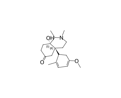 COC1=CC=C(C)C([C@]23CCN(C)C(C)[C@]2(O)CCC(=O)C3)C1